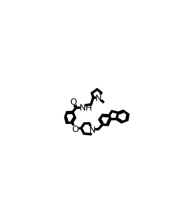 CN1CCCC1CCNC(=O)c1cccc(OC2CCN(Cc3ccc4c(c3)-c3ccccc3C4)CC2)c1